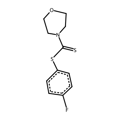 Fc1ccc(SC(=S)N2CCOCC2)cc1